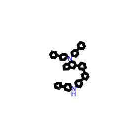 c1ccc(-c2ccc(Nc3ccc(-c4cccc(-c5cccc(-c6cc(N(c7ccc(-c8ccccc8)cc7)c7ccc(-c8ccccc8)cc7)c7ccccc7c6)c5)c4)cc3)cc2)cc1